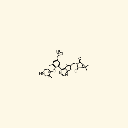 Cc1cc(Cl)cc(-c2ncnc3cc(CN4C(=O)C5C(C4=O)C5(C)C)sc23)c1O[C@@H]1CCNC[C@@H]1C.Cl.Cl